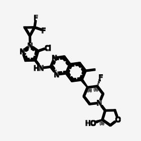 Cc1cc2cnc(Nc3cnn(C4CC4(F)F)c3Cl)nc2cc1[C@@H]1CCN(C2COC[C@H]2O)C[C@H]1F